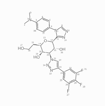 CN(C)c1ccc(-n2cnnc2[C@@H]2O[C@H](CCO)[C@H](O)[C@H](n3cc(-c4cc(F)c(F)c(F)c4)nn3)[C@H]2O)cc1